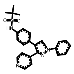 CC(C)(C)S(=O)(=O)Nc1ccc(-c2cn(-c3ccccc3)nc2-c2ccncc2)cc1